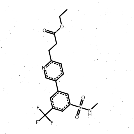 CCOC(=O)CCc1ccc(-c2cc(C(F)(F)F)cc(S(=O)(=O)NC)c2)cn1